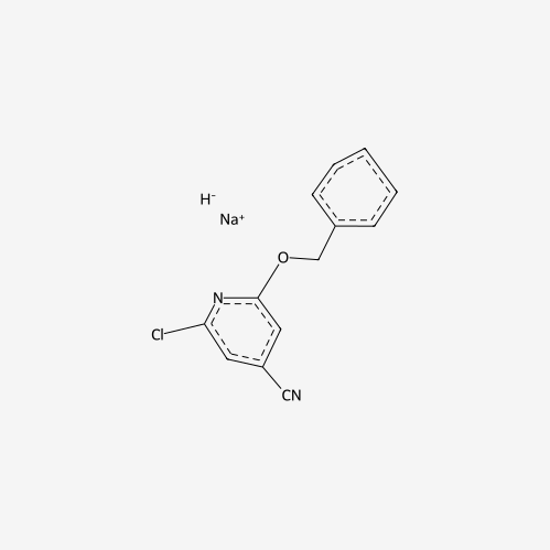 N#Cc1cc(Cl)nc(OCc2ccccc2)c1.[H-].[Na+]